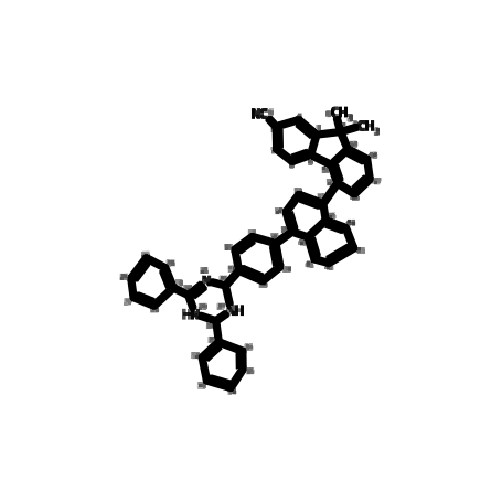 CC1(C)c2cc(C#N)ccc2-c2c(-c3ccc(-c4ccc(C5N=C(c6ccccc6)NC(c6ccccc6)N5)cc4)c4ccccc34)cccc21